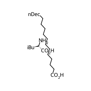 CCCCCCCCCCCCCCCCCCCCCC(=O)O.CC[C@H](C)[C@H](N)C(=O)O